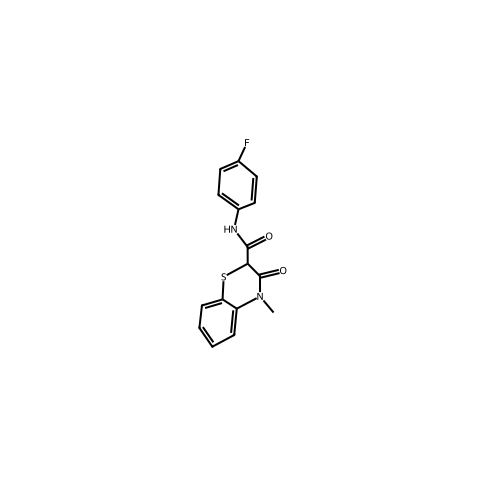 CN1C(=O)C(C(=O)Nc2ccc(F)cc2)Sc2ccccc21